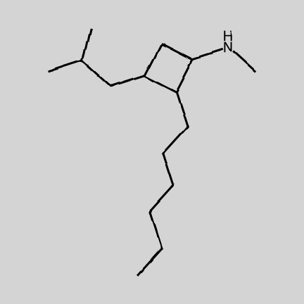 CCCCCCC1C(CC(C)C)CC1NC